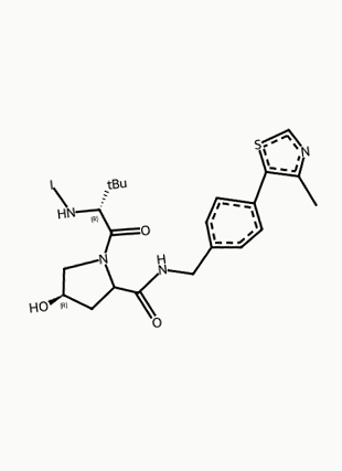 Cc1ncsc1-c1ccc(CNC(=O)C2C[C@@H](O)CN2C(=O)[C@H](NI)C(C)(C)C)cc1